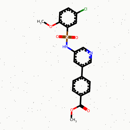 COC(=O)c1ccc(-c2cncc(NS(=O)(=O)c3cc(Cl)ccc3OC)c2)cc1